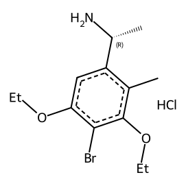 CCOc1cc([C@@H](C)N)c(C)c(OCC)c1Br.Cl